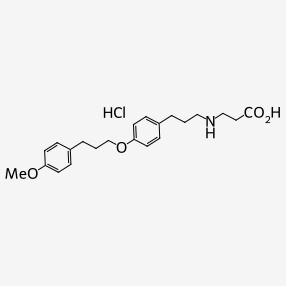 COc1ccc(CCCOc2ccc(CCCNCCC(=O)O)cc2)cc1.Cl